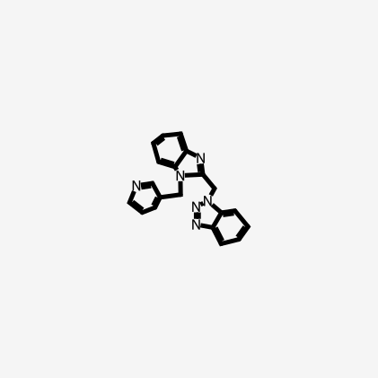 c1cncc(Cn2c(Cn3nnc4ccccc43)nc3ccccc32)c1